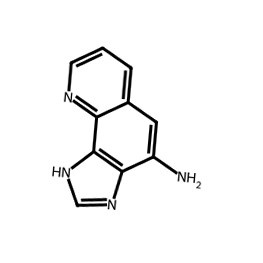 Nc1cc2cccnc2c2[nH]cnc12